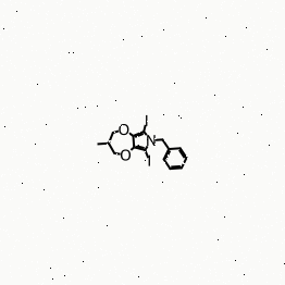 CC1COc2c(c(I)n(Cc3ccccc3)c2I)OC1